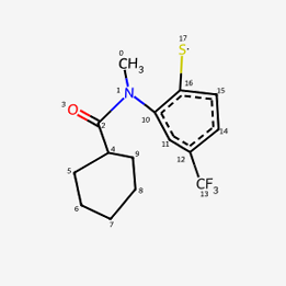 CN(C(=O)C1CCCCC1)c1cc(C(F)(F)F)ccc1[S]